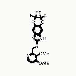 COc1ccnc(CSc2nc3cc4c(cc3[nH]2)OC(F)(F)C(F)(F)O4)c1OC